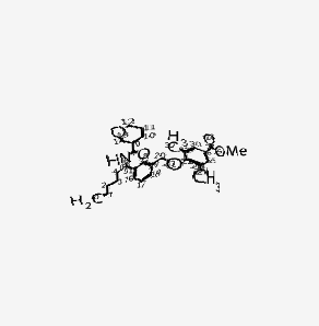 C=CCCC[C@@H](NC(=O)C1CCCOC1)c1cccc(COc2c(C)cc(C(=O)OC)cc2C)c1